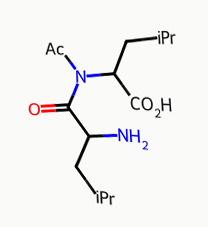 CC(=O)N(C(=O)C(N)CC(C)C)C(CC(C)C)C(=O)O